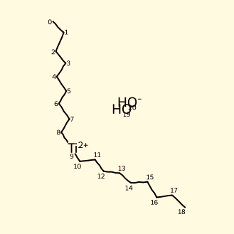 CCCCCCCC[CH2][Ti+2][CH2]CCCCCCCC.[OH-].[OH-]